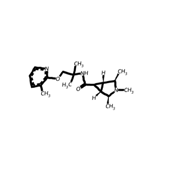 Cc1cccnc1OCC(C)(C)NC(=O)C1[C@@H]2[C@H]1[C@@H](C)N(C)[C@H]2C